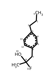 CCCc1ccc(CC(C)(O)F)cc1